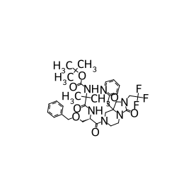 CC(C)(C)OC(=O)NC(C)(C)C(=O)N[C@H](COCc1ccccc1)C(=O)N1CCN2C(=O)N(CC(F)(F)F)C(=O)C2(Cc2ccccn2)C1